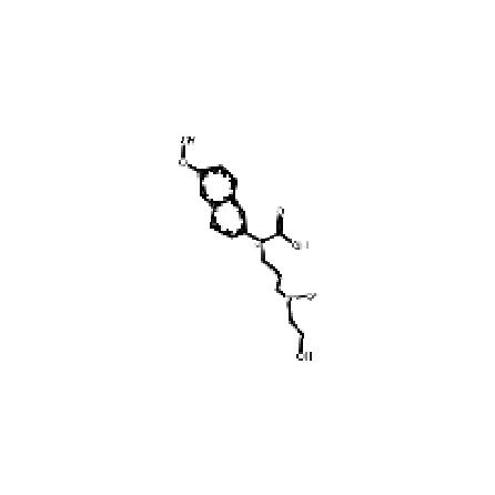 COc1ccc2cc([C@H](CCC[S+]([O-])CCO)C(=O)O)ccc2c1